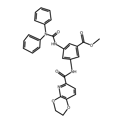 COC(=O)c1cc(NC(=O)c2ccc3c(n2)OCCO3)cc(NC(=O)N(c2ccccc2)c2ccccc2)c1